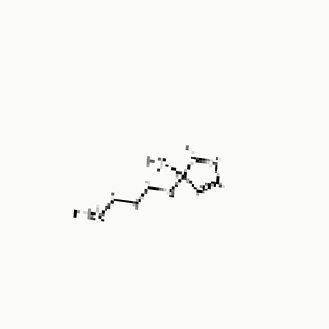 CCCCCCCCCCC1(N)C=CC=P1